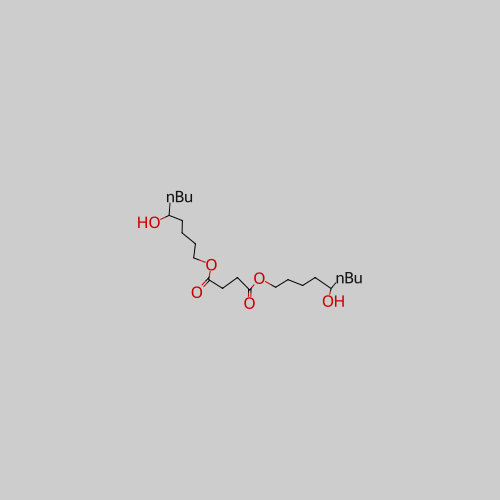 CCCCC(O)CCCCOC(=O)CCC(=O)OCCCCC(O)CCCC